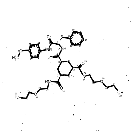 COc1ccc(NC(=O)[C@H](Cc2ccccc2)NC(=O)[C@@H]2C[C@H](C(=O)NCCOCCO)C[C@H](C(=O)NCCOCCO)C2)cc1